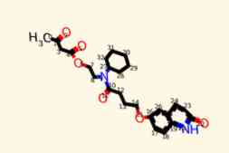 CC(=O)CC(=O)OCCN(C(=O)CCCOc1ccc2[nH]c(=O)ccc2c1)C1CCCCC1